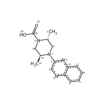 C[C@@H]1CN(c2cnc3ccccc3n2)[C@@H](C)CN1C(=O)O